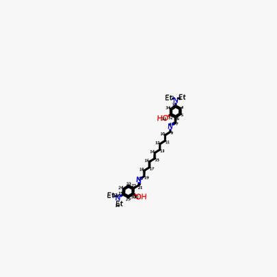 CCN(CC)c1ccc(C=NCCCCCCCCCCCN=Cc2ccc(N(CC)CC)cc2O)c(O)c1